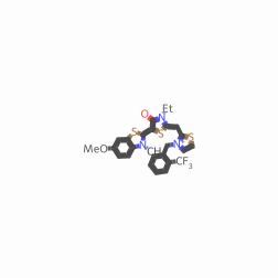 CCn1c(=O)/c(=C2\Sc3cc(OC)ccc3N2C)s/c1=C\c1scc[n+]1Cc1ccccc1C(F)(F)F